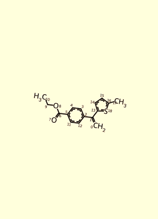 C=C(c1ccc(C(=O)OCC)cc1)c1ccc(C)s1